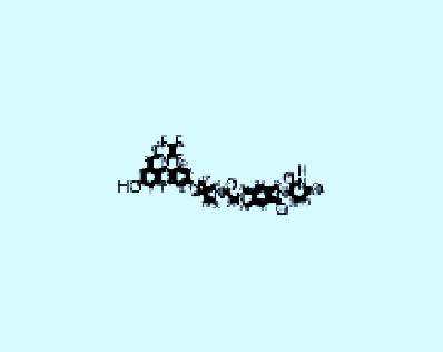 C[C@@H]1Cc2cc(O)ccc2[C@@H](c2c(F)cc(N3CC4(CCN(C(=O)CN5Cc6cc7c(cc6C5)C(=O)N(C5CCC(=O)NC5=O)C7)C4)C3)cc2F)N1CC(F)F